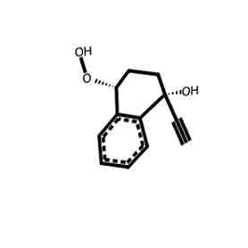 C#C[C@]1(O)CC[C@@H](OO)c2ccccc21